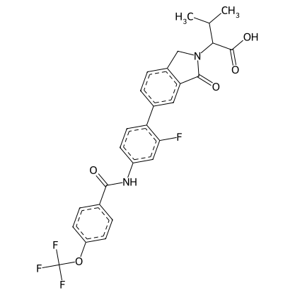 CC(C)C(C(=O)O)N1Cc2ccc(-c3ccc(NC(=O)c4ccc(OC(F)(F)F)cc4)cc3F)cc2C1=O